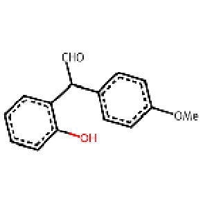 COc1ccc(C(C=O)c2ccccc2O)cc1